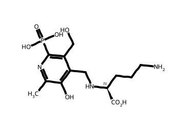 Cc1nc(P(=O)(O)O)c(CO)c(CN[C@@H](CCCN)C(=O)O)c1O